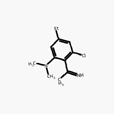 CCc1cc(Cl)c(C(C)=N)c(N(C)C)c1